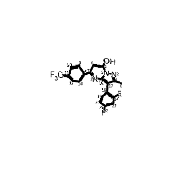 Cc1nn2c(O)cc(-c3ccc(C(F)(F)F)cc3)nc2c1-c1ccc(F)cc1F